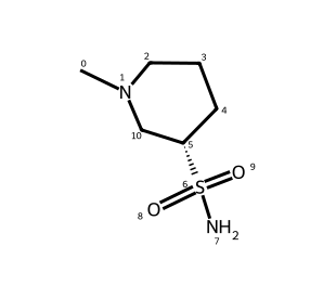 CN1CCC[C@H](S(N)(=O)=O)C1